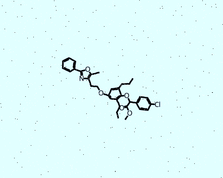 CCCc1cc(OCCc2nc(-c3ccccc3)oc2C)cc(CCC)c1OC(C(=O)OC)c1ccc(Cl)cc1